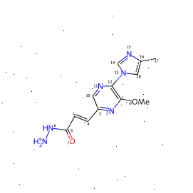 COc1nc(/C=C/C(=O)NN)cnc1-n1cnc(C)c1